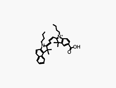 CCCCN1C(=CC=CC2=[N+](CCCC)c3ccc(C(=O)O)cc3C2(C)C)C(C)(C)c2c1ccc1ccccc21